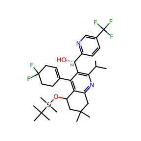 CC(C)c1nc2c(c(C3=CCC(F)(F)CC3)c1[C@H](O)c1ccc(C(F)(F)F)cn1)C(O[Si](C)(C)C(C)(C)C)CC(C)(C)C2